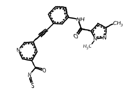 Cc1cc(C(=O)Nc2cccc(C#Cc3cncc(C(=O)N=S)c3)c2)n(C)n1